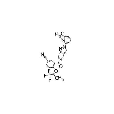 Cc1cccc(-n2cc3c(n2)CN(C(=O)c2cc(C#N)ccc2O[C@@H](C)C(F)(F)F)C3)n1